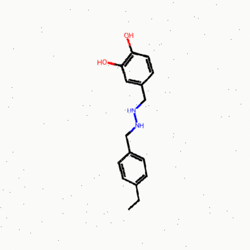 CCc1ccc(CNNCc2ccc(O)c(O)c2)cc1